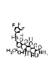 CN(C)c1cc(CNCc2cc(F)c(F)c(F)c2)c(O)c2c1C[C@H]1C[C@H]3CC(O)=C(C(N)=O)C(=O)C3C(O)=C1C2=O